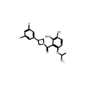 COc1c(C#N)ccc(OC(C)C(F)(F)F)c1C(=O)N1CC(c2cc(F)cc(F)c2)C1